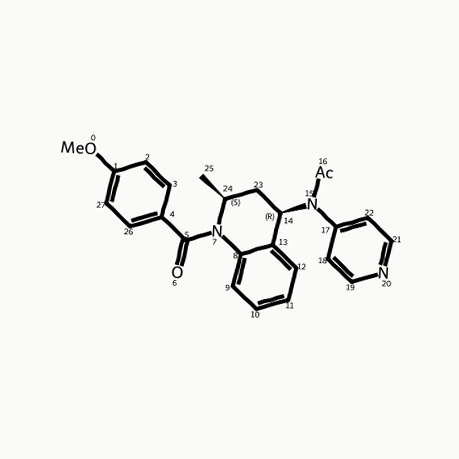 COc1ccc(C(=O)N2c3ccccc3[C@H](N(C(C)=O)c3ccncc3)C[C@@H]2C)cc1